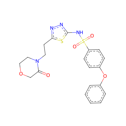 O=C1COCCN1CCc1nnc(NS(=O)(=O)c2ccc(Oc3ccccc3)cc2)s1